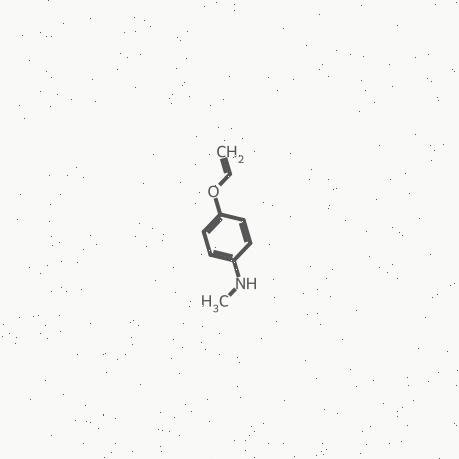 C=COc1ccc(NC)cc1